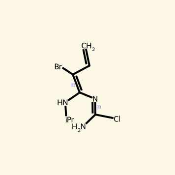 C=C/C(Br)=C(\N=C(/N)Cl)NC(C)C